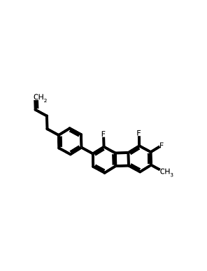 C=CCCc1ccc(-c2ccc3c(c2F)-c2c-3cc(C)c(F)c2F)cc1